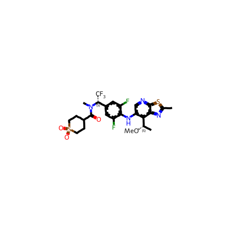 CO[C@@H](C)c1c(Nc2c(F)cc([C@H](N(C)C(=O)C3CCS(=O)(=O)CC3)C(F)(F)F)cc2F)cnc2sc(C)nc12